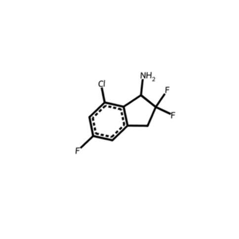 NC1c2c(Cl)cc(F)cc2CC1(F)F